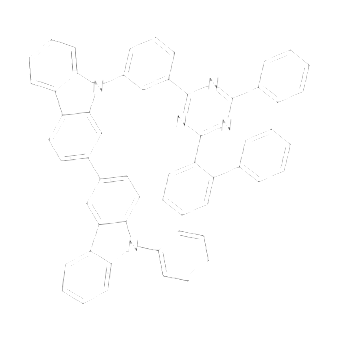 c1ccc(-c2nc(-c3cccc(-n4c5ccccc5c5ccc(-c6ccc7c(c6)c6ccccc6n7-c6ccccc6)cc54)c3)nc(-c3ccccc3-c3ccccc3)n2)cc1